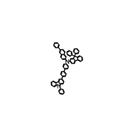 c1ccc(-c2ccc3cc(N(c4ccc(-c5ccc(-c6ccc7c(c6)c6ccccc6n7-c6ccccc6)cc5)cc4)c4ccc5c(c4)C(c4ccccc4)(c4ccccc4)c4ccccc4-5)ccc3c2)cc1